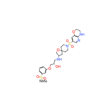 CNS(=O)(=O)c1cccc(OC[C@@H](O)CNC2COC3(CCN(S(=O)(=O)c4cnc5c(c4)OCCN5)CC3)C2)c1